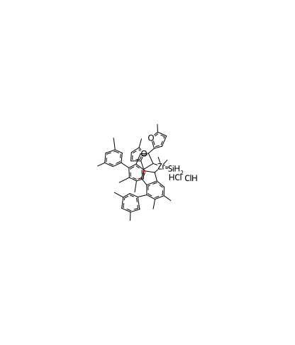 Cc1cc(C)cc(-c2c(C)c(C)cc3c2C=C(c2ccc(C)o2)[CH]3[Zr]([CH3])([CH3])(=[SiH2])[CH]2C(c3ccc(C)o3)=Cc3c2cc(C)c(C)c3-c2cc(C)cc(C)c2)c1.Cl.Cl